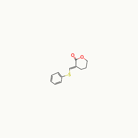 O=C1OCCC/C1=C\Sc1ccccc1